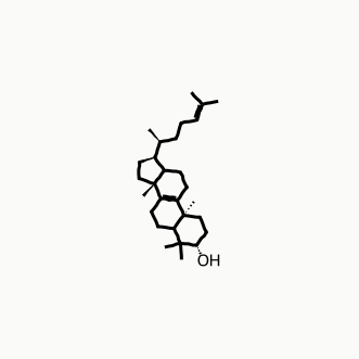 CC(C)=CCC[C@H](C)[C@@H]1CC[C@@]2(C)C3=C(CCC12)[C@@]1(C)CC[C@H](O)C(C)(C)C1CC3